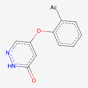 CC(=O)c1ccccc1Oc1cn[nH]c(=O)c1